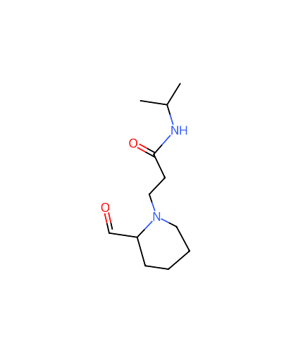 CC(C)NC(=O)CCN1CCCCC1C=O